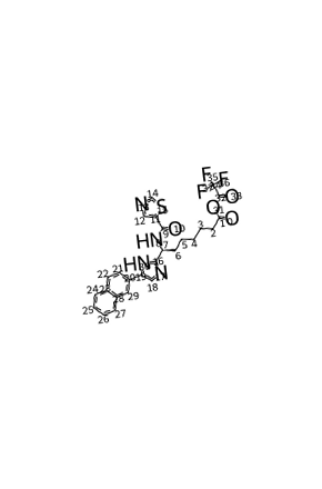 O=C(CCCCC[C@H](NC(=O)c1cncs1)c1ncc(-c2ccc3ccccc3c2)[nH]1)OC(=O)C(F)(F)F